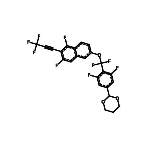 Fc1cc2cc(OC(F)(F)c3c(F)cc(C4OCCCO4)cc3F)ccc2c(F)c1C#CC(F)(F)F